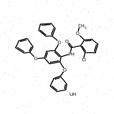 COc1cccc(Cl)c1C(=O)Pc1c(Oc2ccccc2)cc(Oc2ccccc2)cc1Oc1ccccc1.[LiH]